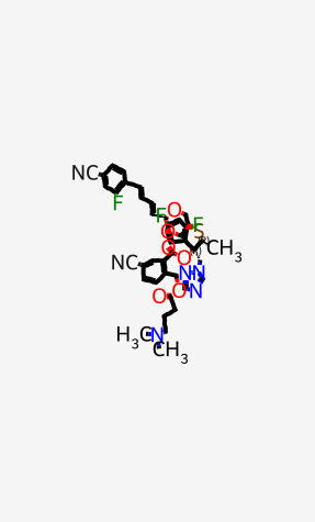 C[C@@H](S[C@H]1CO[C@H](C=CC=Cc2ccc(C#N)cc2F)OC1)[C@@](Cn1cncn1)(OC(=O)c1cc(C#N)ccc1COC(=O)CCCN(C)C)c1ccc(F)cc1F